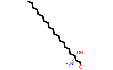 CCCCCCCCCCCCCCCCC[C@H](O)[C@@H](N)CO